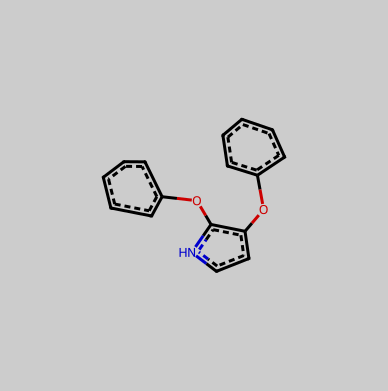 c1ccc(Oc2cc[nH]c2Oc2ccccc2)cc1